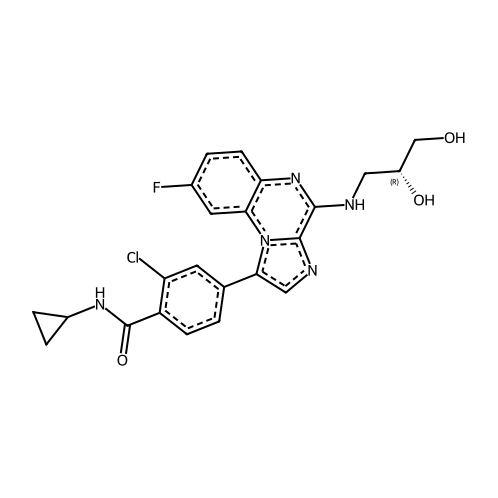 O=C(NC1CC1)c1ccc(-c2cnc3c(NC[C@@H](O)CO)nc4ccc(F)cc4n23)cc1Cl